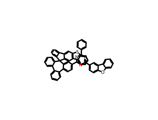 c1ccc(-c2nc(-c3ccc4c(c3)C3(c5ccccc5-c5ccccc5-4)c4ccccc4-c4cc5sc6ccccc6c5cc43)nc(-c3ccc4oc5ccccc5c4c3)n2)cc1